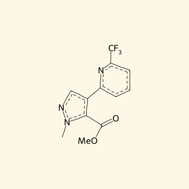 COC(=O)c1c(-c2cccc(C(F)(F)F)n2)cnn1C